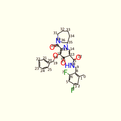 Cc1cc(F)cc(F)c1CNC(=O)c1cn2c(c(OCc3ccccc3)c1=O)C(=O)N1CCCCC2C1